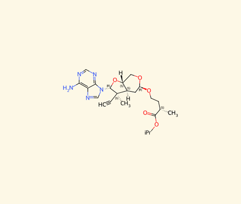 C#C[C@]1(C)[C@@H]2C[C@H](OCC[C@H](C)C(=O)OC(C)C)OC[C@H]2O[C@H]1n1cnc2c(N)ncnc21